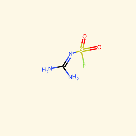 NC(N)=NS(=O)(=O)F